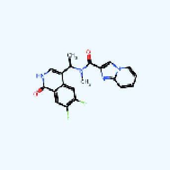 CC(c1c[nH]c(=O)c2cc(F)c(F)cc12)N(C)C(=O)c1cn2ccccc2n1